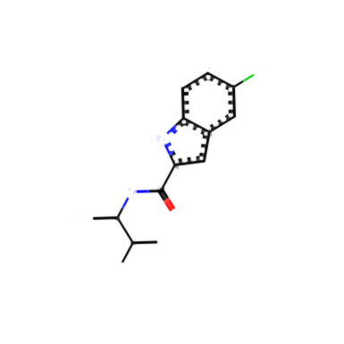 CC(C)C(C)NC(=O)c1cc2cc(Cl)ccc2[nH]1